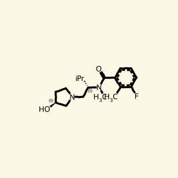 Cc1c(F)cccc1C(=O)N(C)[C@H](CN1CC[C@H](O)C1)C(C)C